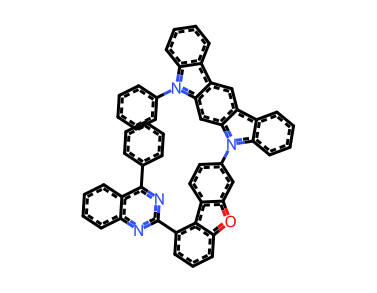 c1ccc(-c2nc(-c3cccc4oc5cc(-n6c7ccccc7c7cc8c9ccccc9n(-c9ccccc9)c8cc76)ccc5c34)nc3ccccc23)cc1